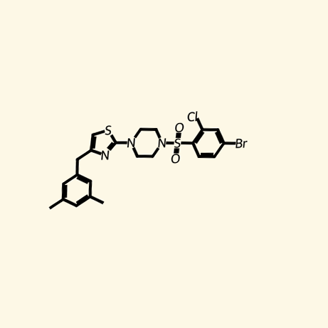 Cc1cc(C)cc(Cc2csc(N3CCN(S(=O)(=O)c4ccc(Br)cc4Cl)CC3)n2)c1